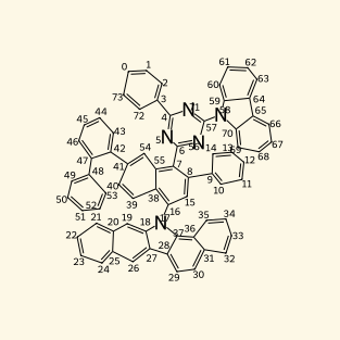 c1ccc(-c2nc(-c3c(-c4ccccc4)cc(-n4c5cc6ccccc6cc5c5ccc6ccccc6c54)c4ccc(-c5ccccc5-c5ccccc5)cc34)nc(-n3c4ccccc4c4ccccc43)n2)cc1